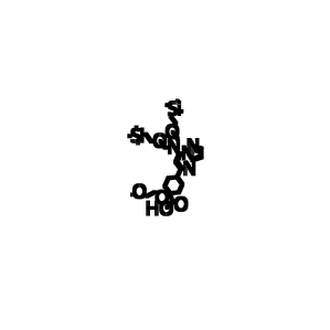 COCCOC1(C(=O)O)CCC(c2cc(N(COCC[Si](C)(C)C)COCC[Si](C)(C)C)n3nccc3n2)CC1